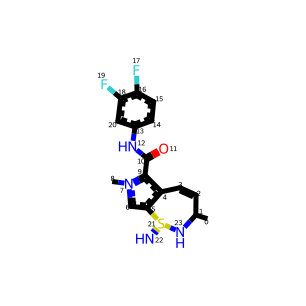 CC1C=Cc2c(cn(C)c2C(=O)Nc2ccc(F)c(F)c2)S(=N)N1